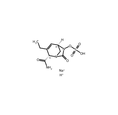 CCC1=C[C@@H]2CN(C(=O)N2OS(=O)(=O)O)[C@@H]1C(N)=O.[H+].[Na+]